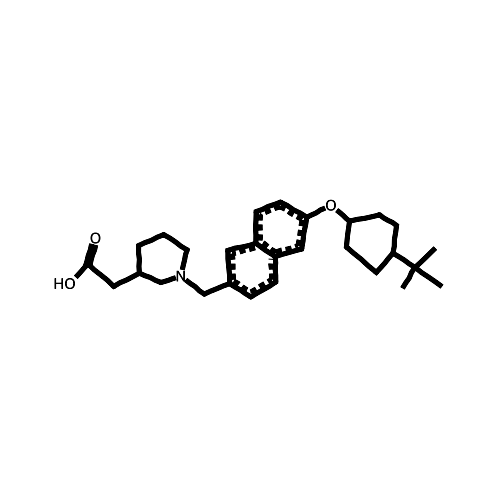 CC(C)(C)C1CCC(Oc2ccc3cc(CN4CCCC(CC(=O)O)C4)ccc3c2)CC1